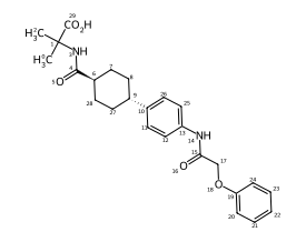 CC(C)(NC(=O)[C@H]1CC[C@H](c2ccc(NC(=O)COc3ccccc3)cc2)CC1)C(=O)O